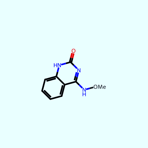 CONc1nc(=O)[nH]c2ccccc12